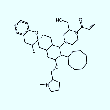 C=CC(=O)N1CCN(C2C3CC[C@@]4(CC3NC(OCC3CCCN3C)N2C2CCCCCCC2)Oc2ccccc2CC4F)CC1CC#N